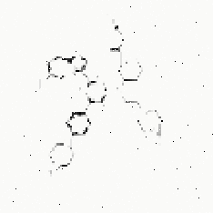 CN1CCN(CCN(c2nc(-c3cnc4ccc(F)cn34)nc(-c3ccc(N4CCN(C)CC4)cc3)c2F)C2CCCN(C(=O)CC#N)C2)CC1